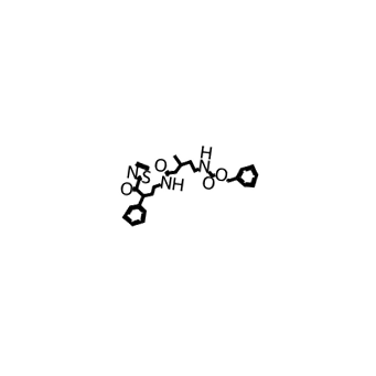 CC(CCNC(=O)OCc1ccccc1)CC(=O)NCCC(C(=O)c1nccs1)c1ccccc1